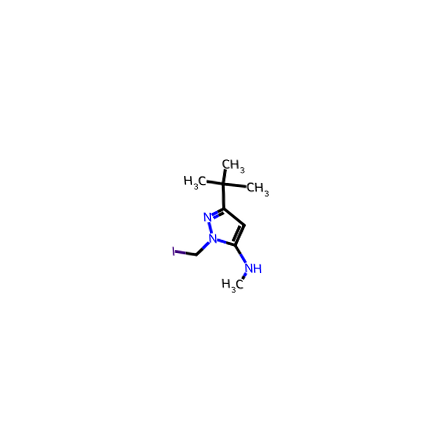 CNc1cc(C(C)(C)C)nn1CI